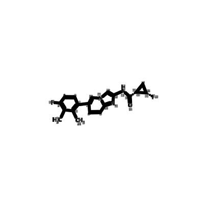 Cc1c(F)ccc(-c2ccc3nc(NC(=O)[C@@H]4C[C@@H]4F)cn3c2)c1C